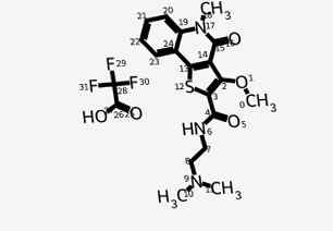 COc1c(C(=O)NCCN(C)C)sc2c1c(=O)n(C)c1ccccc21.O=C(O)C(F)(F)F